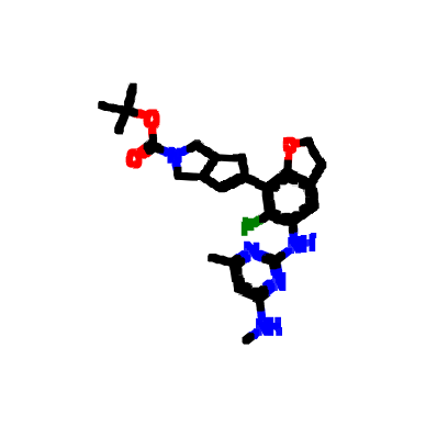 CNc1cc(C)nc(Nc2cc3c(c(C4=CC5CN(C(=O)OC(C)(C)C)CC5C4)c2F)OCC3)n1